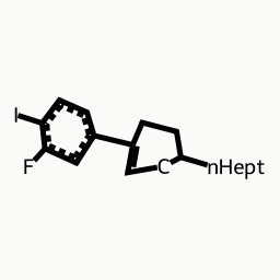 CCCCCCCC1CC=C(c2ccc(I)c(F)c2)CC1